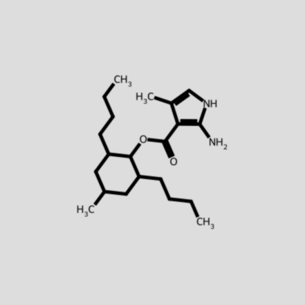 CCCCC1CC(C)CC(CCCC)C1OC(=O)c1c(C)c[nH]c1N